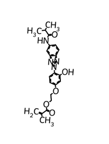 C=C(C)C(=O)OCCOc1ccc(-n2n3c4ccc(NC(=O)C(C)C)cc4n23)c(O)c1